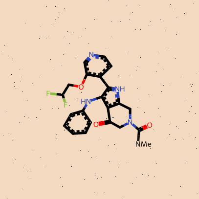 CNC(=O)N1CC(=O)c2c([nH]c(-c3ccncc3OCC(F)F)c2Nc2ccccc2)C1